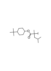 CC(C)CC(C)(I)C(=O)OC1CCC(C(C)(C)C)CC1